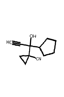 C#CC(O)(C1CCCC1)C1(C#N)CC1